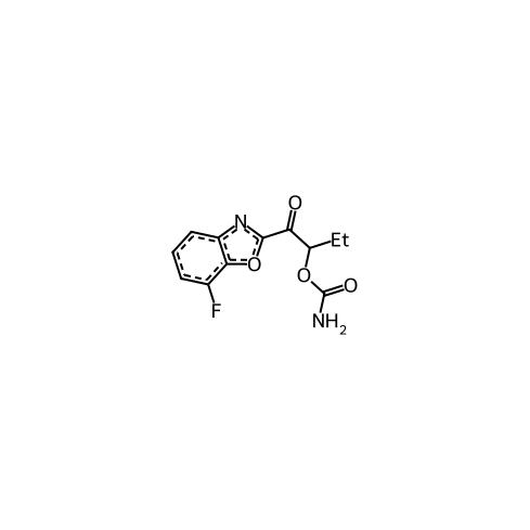 CCC(OC(N)=O)C(=O)c1nc2cccc(F)c2o1